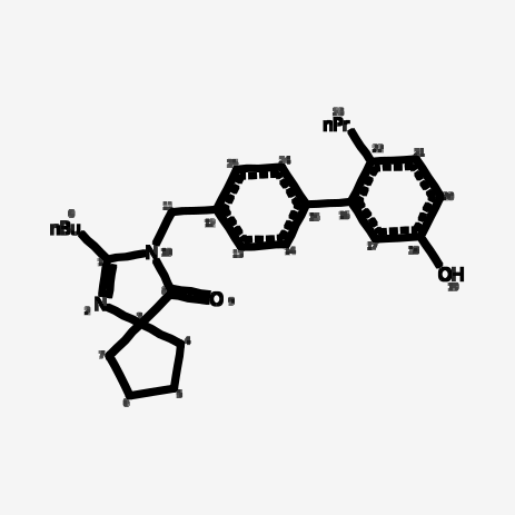 CCCCC1=NC2(CCCC2)C(=O)N1Cc1ccc(-c2cc(O)ccc2CCC)cc1